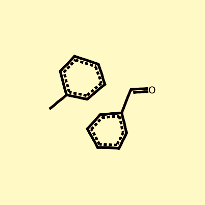 Cc1ccccc1.O=Cc1ccccc1